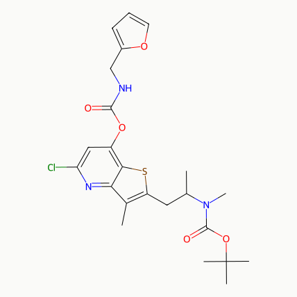 Cc1c(CC(C)N(C)C(=O)OC(C)(C)C)sc2c(OC(=O)NCc3ccco3)cc(Cl)nc12